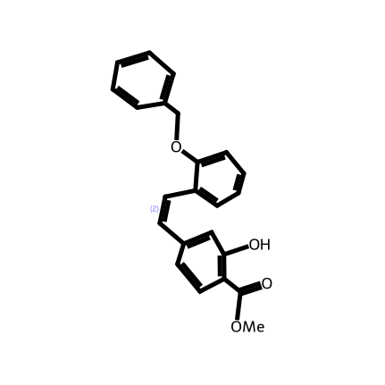 COC(=O)c1ccc(/C=C\c2ccccc2OCc2ccccc2)cc1O